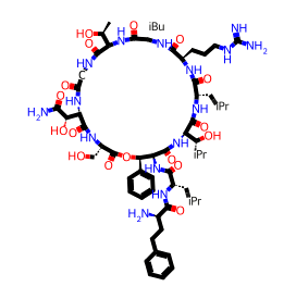 CC[C@H](C)C1NC(=O)[C@@H](CCCNC(=N)N)NC(=O)[C@H](CC(C)C)NC(=O)[C@H]([C@H](O)C(C)C)NC(=O)[C@@H](NC(=O)[C@H](CC(C)C)NC(=O)[C@H](N)CCc2ccccc2)[C@@H](c2ccccc2)OC(=O)[C@H](CO)NC(=O)[C@H]([C@H](O)C(N)=O)NC(=O)CNC(=O)C([C@H](C)O)NC1=O